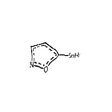 [SnH][c]1ccno1